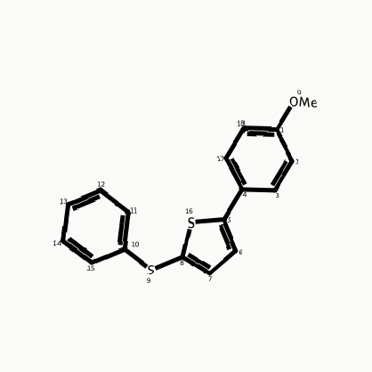 COc1ccc(-c2ccc(Sc3ccccc3)s2)cc1